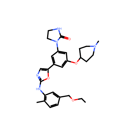 CCOCc1ccc(C)c(Nc2ncc(-c3cc(OC4CCN(C)CC4)cc(N4CCNC4=O)c3)o2)c1